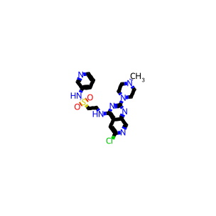 CN1CCN(c2nc(NCCS(=O)(=O)Nc3cccnc3)c3cc(Cl)ncc3n2)CC1